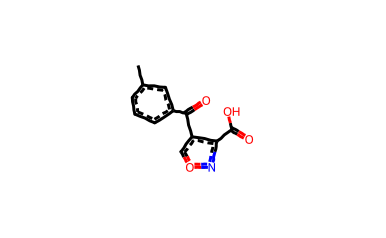 Cc1cccc(C(=O)c2conc2C(=O)O)c1